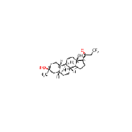 C[C@@]1(O)CC[C@H]2[C@H](CC[C@@H]3[C@@H]2CC[C@]2(C)[C@@H](C(=O)CC(F)(F)F)CC[C@@H]32)C1